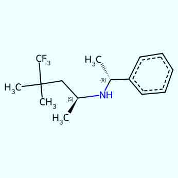 C[C@@H](CC(C)(C)C(F)(F)F)N[C@H](C)c1ccccc1